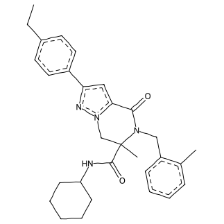 CCc1ccc(-c2cc3n(n2)CC(C)(C(=O)NC2CCCCC2)N(Cc2ccccc2C)C3=O)cc1